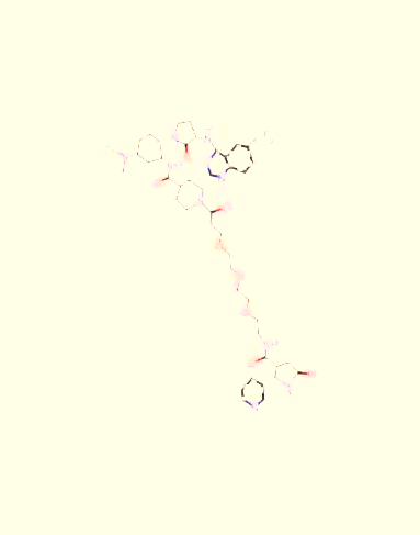 CC(C)N(C)[C@@H]1CC[C@H](N2CC[C@H](Nc3ncnc4ccc(C(F)(F)F)cc34)C2=O)[C@H](NC(=O)C2CCN(C(=O)CCOCCOCCOCCNC(=O)[C@H]3CC(=O)N(C)[C@@H]3c3cccnc3)CC2)C1